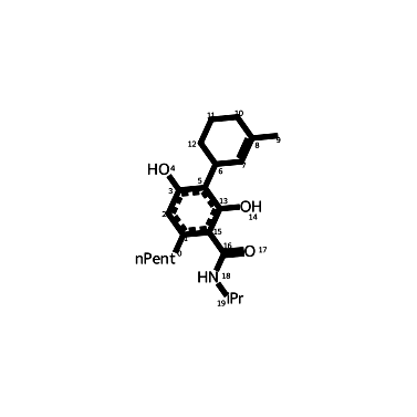 CCCCCc1cc(O)c(C2C=C(C)CCC2)c(O)c1C(=O)NC(C)C